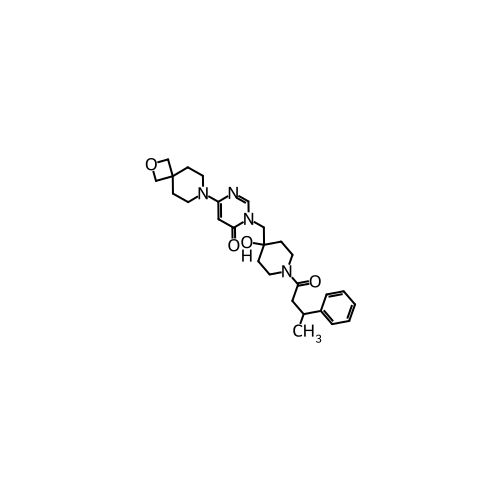 CC(CC(=O)N1CCC(O)(Cn2cnc(N3CCC4(CC3)COC4)cc2=O)CC1)c1ccccc1